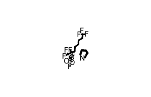 O=S(=O)(OF)C(F)(F)C(F)(F)CCCCCC(F)(F)F.c1ccncc1